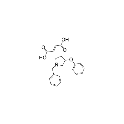 O=C(O)C=CC(=O)O.c1ccc(CN2CCC(Oc3ccccc3)C2)cc1